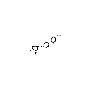 CCC[C@H]1CC[C@H](C2CCC(/C=C/c3ccc(F)c(F)c3)CC2)CC1